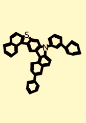 c1ccc(-c2cccc(-n3c4cc5sc6ccc7ccccc7c6c5cc4c4c5ccc(-c6ccccc6)cc5ccc43)c2)cc1